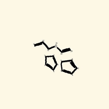 C1=CCC=C1.C1=CCC=C1.C=CCOC=C